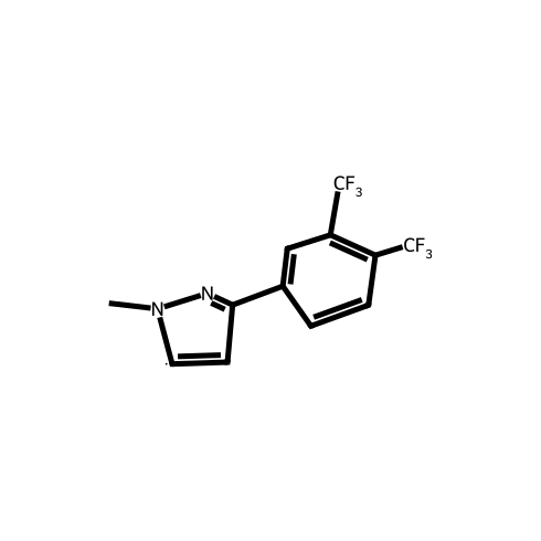 Cn1[c]cc(-c2ccc(C(F)(F)F)c(C(F)(F)F)c2)n1